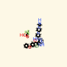 O=C(O)C(F)(F)F.O=C(c1ccc(Oc2ccccc2)cc1Cl)c1c[nH]c2ncnc(NC3CCN(C4CCN(C5CNC5)CC4)CC3)c12